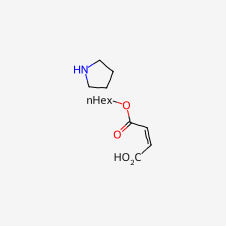 C1CCNC1.CCCCCCOC(=O)/C=C\C(=O)O